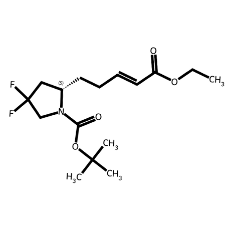 CCOC(=O)C=CCC[C@H]1CC(F)(F)CN1C(=O)OC(C)(C)C